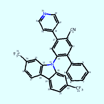 N#Cc1cc(-c2ccccc2)c(-n2c3cc(C(F)(F)F)ccc3c3ccc(C(F)(F)F)cc32)cc1-c1ccncc1